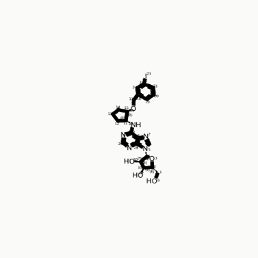 OC[C@H]1O[C@@H](n2cnc3c(N[C@@H]4CCC[C@H]4OCc4cccc(I)c4)ncnc32)[C@H](O)[C@@H]1O